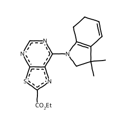 CCOC(=O)c1nc2c(N3CC(C)(C)C4=C3CCC=C4)ncnc2s1